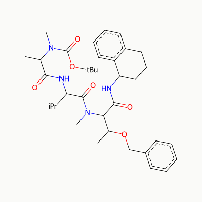 CC(C)C(NC(=O)C(C)N(C)C(=O)OC(C)(C)C)C(=O)N(C)C(C(=O)NC1CCCc2ccccc21)C(C)OCc1ccccc1